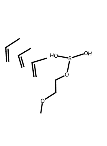 C=CC.C=CC.C=CC.COCCOB(O)O